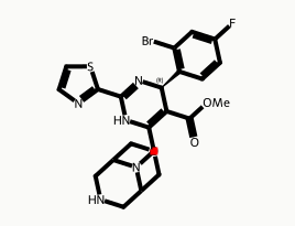 COC(=O)C1=C(CN2C3CNCC2COC3)NC(c2nccs2)=N[C@H]1c1ccc(F)cc1Br